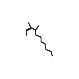 CC=C(C)C(C)CCCCCCC